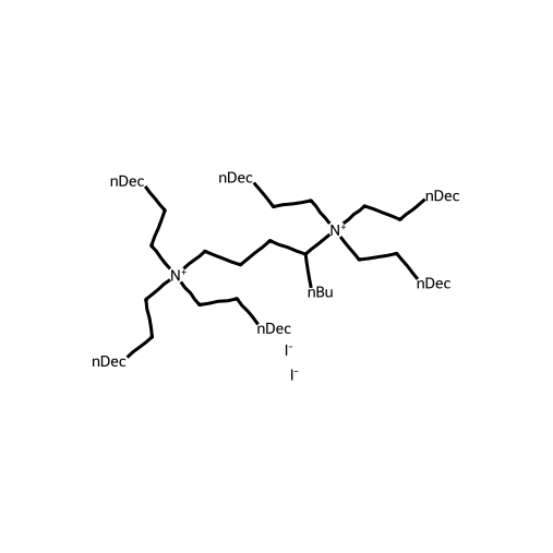 CCCCCCCCCCCC[N+](CCCCCCCCCCCC)(CCCCCCCCCCCC)CCCC(CCCC)[N+](CCCCCCCCCCCC)(CCCCCCCCCCCC)CCCCCCCCCCCC.[I-].[I-]